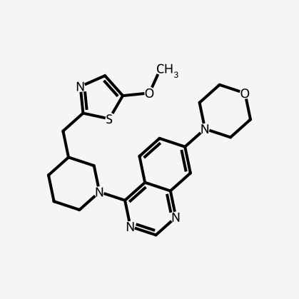 COc1cnc(CC2CCCN(c3ncnc4cc(N5CCOCC5)ccc34)C2)s1